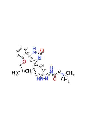 CC(C)COc1ccccc1-c1cc(-c2ccc3[nH]nc(NC(=O)CN(C)C)c3c2)nc(=O)[nH]1